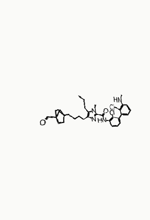 CCCc1c(CCCCC23CCC(C=O)(CC2)C3)nc(C(=O)Nc2cccc(-c3cccc(NC)c3Cl)c2Cl)n1C